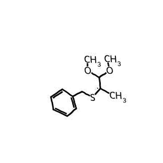 COC(OC)[C](C)SCc1ccccc1